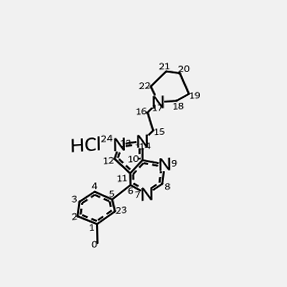 Cc1cccc(-c2ncnc3c2cnn3CCN2CCCCC2)c1.Cl